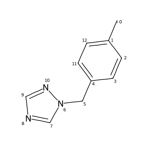 [CH2]c1ccc(Cn2cncn2)cc1